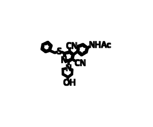 CC(=O)Nc1ccc(-c2c(C#N)c(SCc3ccccc3)nc(N3CCC(O)CC3)c2C#N)cc1